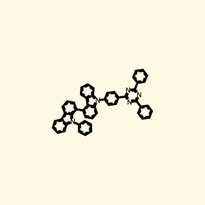 c1ccc(-c2nc(-c3ccccc3)nc(-c3ccc(-n4c5ccccc5c5c(-c6cccc7c8ccccc8n(-c8ccccc8)c67)cccc54)cc3)n2)cc1